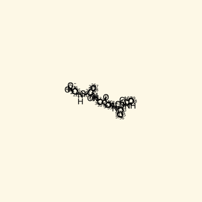 O=C1c2cc(N=Nc3c(O)c(CONc4ccc([N+](=O)[O-])cc4)cc4ccccc34)ccc2-c2ccc(N=Nc3c(O)c(C(=O)Nc4ccccc4Cl)cc4ccccc34)cc21